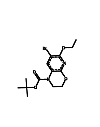 CCOc1nc2c(cc1Br)N(C(=O)OC(C)(C)C)CCO2